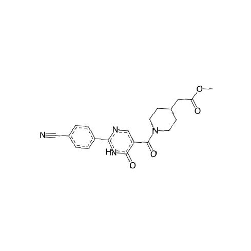 COC(=O)CC1CCN(C(=O)c2cnc(-c3ccc(C#N)cc3)[nH]c2=O)CC1